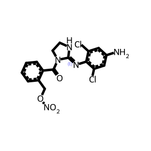 Nc1cc(Cl)c(/N=C2\NCCN2C(=O)c2ccccc2CO[N+](=O)[O-])c(Cl)c1